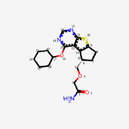 NC(=O)COC[C@H]1CCc2sc3ncnc(OC4CCCCC4)c3c21